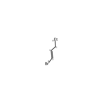 CC[CH]C=CBr